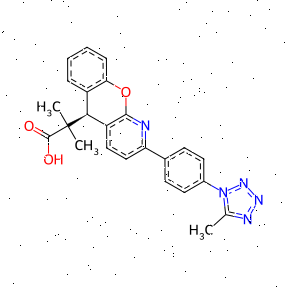 Cc1nnnn1-c1ccc(-c2ccc3c(n2)Oc2ccccc2[C@@H]3C(C)(C)C(=O)O)cc1